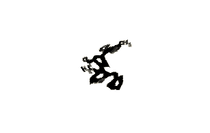 COC(=O)c1ccc(-c2c(C)ccnc2Cc2ccccc2)c(C=O)c1